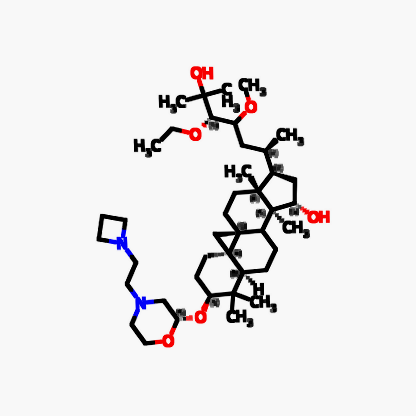 CCO[C@@H](C(C[C@@H](C)[C@H]1C[C@H](O)[C@@]2(C)C3CC[C@H]4C(C)(C)[C@@H](O[C@H]5CN(CCN6CCC6)CCO5)CC[C@@]45C[C@@]35CC[C@]12C)OC)C(C)(C)O